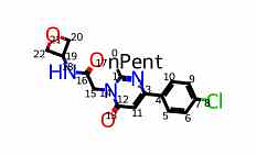 CCCCCc1nc(-c2ccc(Cl)cc2)cc(=O)n1CC(=O)NC1COC1